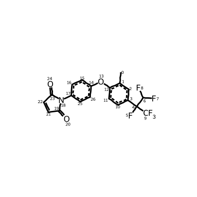 Cc1cc(C(F)(C(F)F)C(F)(F)F)ccc1Oc1ccc(N2C(=O)C=CC2=O)cc1